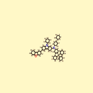 c1ccc(-c2ccc(N(c3ccc4c(c3)-c3ccccc3C4(c3ccccc3)c3ccccc3)c3ccc4c5cc(-c6ccc7oc8ccccc8c7c6)ccc5n(-c5ccccc5)c4c3)cc2)cc1